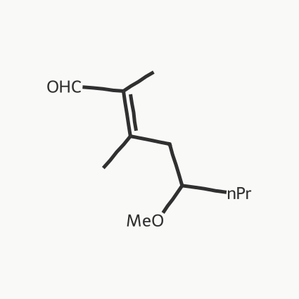 CCCC(C/C(C)=C(\C)C=O)OC